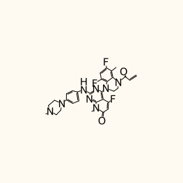 C=CC(=O)N1CCN(c2nc(Nc3ccc(N4CCN(C)CC4)cc3)nc3c2c(F)cc(=O)n3C)c2c(F)cc(F)c(C)c21